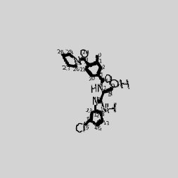 Cc1cc(C(=O)NC(CO)c2nc3cc(Cl)ccc3[nH]2)ccc1C(=O)N1CCCC1